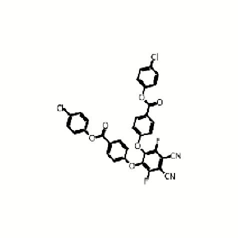 N#Cc1c(F)c(Oc2ccc(C(=O)Oc3ccc(Cl)cc3)cc2)c(Oc2ccc(C(=O)Oc3ccc(Cl)cc3)cc2)c(F)c1C#N